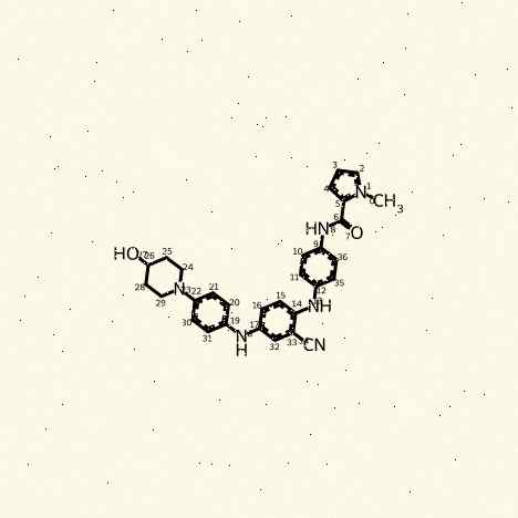 Cn1cccc1C(=O)Nc1ccc(Nc2ccc(Nc3ccc(N4CCC(O)CC4)cc3)cc2C#N)cc1